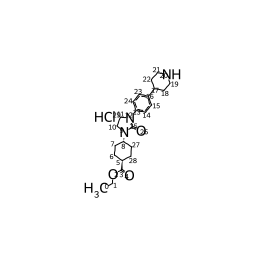 CCOC(=O)[C@H]1CC[C@H](N2CCN(c3ccc(C4CCNCC4)cc3)C2=O)CC1.Cl